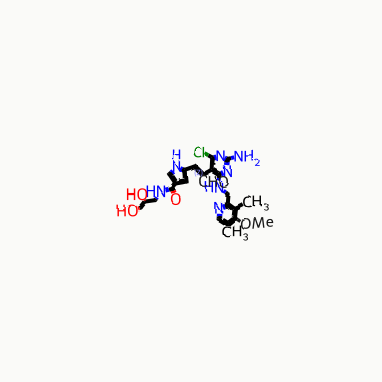 COc1c(C)cnc(CNc2nc(N)nc(Cl)c2/C(C=O)=C/c2cc(C(=O)NCC(O)CO)c[nH]2)c1C